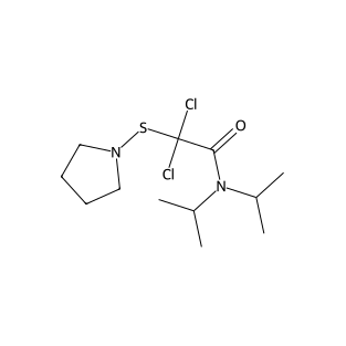 CC(C)N(C(=O)C(Cl)(Cl)SN1CCCC1)C(C)C